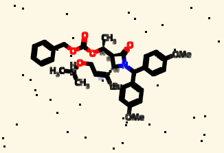 COc1ccc(C(c2ccc(OC)cc2)N2C(=O)[C@H]([C@@H](C)OC(=O)OCc3ccccc3)[C@H]2/C(=C\CO[SiH](C)C)C(C)(C)C)cc1